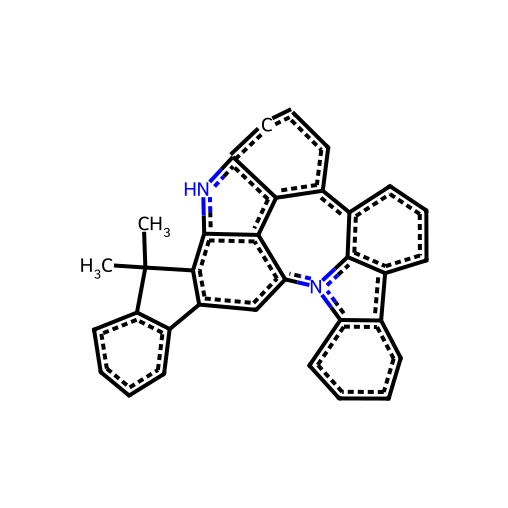 CC1(C)c2ccccc2-c2cc3c4c([nH]c5cccc(c6cccc7c8ccccc8n3c67)c54)c21